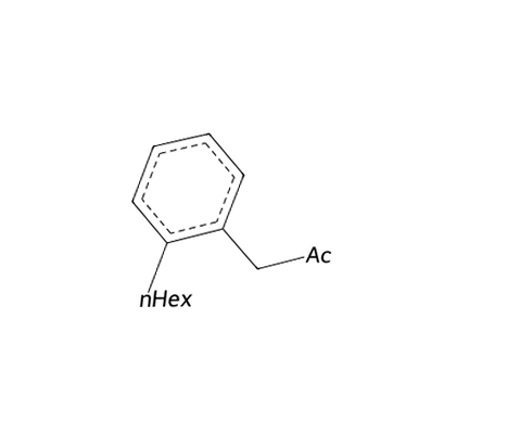 CCCCCCc1ccccc1CC(C)=O